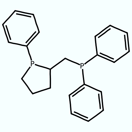 c1ccc(P(CC2CCCP2c2ccccc2)c2ccccc2)cc1